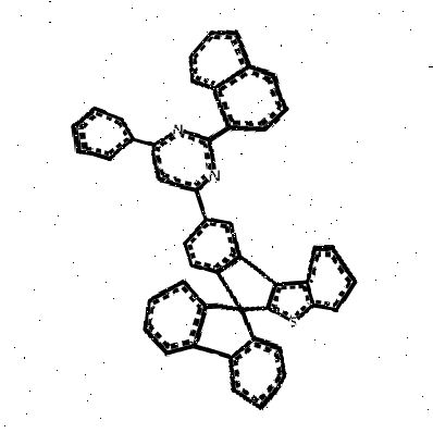 c1ccc(-c2cc(-c3ccc4c(c3)-c3c(sc5ccccc35)C43c4ccccc4-c4ccccc43)nc(-c3cccc4ccccc34)n2)cc1